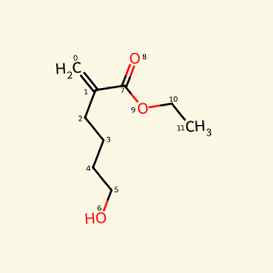 C=C(CCCCO)C(=O)OCC